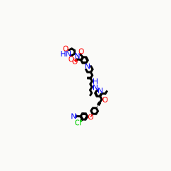 C=C(CCC(CCC)Nc1ccc(C(=O)C#C[C@H]2CC[C@H](Oc3ccc(C#N)c(Cl)c3)CC2)c(CC)n1)CC1CCN(c2ccc3c(c2)C(=O)N(C2CCC(=O)NC2=O)C3=O)CC1